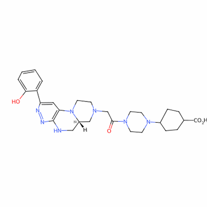 O=C(O)C1CCC(N2CCN(C(=O)CN3CCN4c5cc(-c6ccccc6O)nnc5NC[C@H]4C3)CC2)CC1